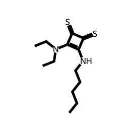 CCCCCNc1c(N(CC)CC)c(=S)c1=S